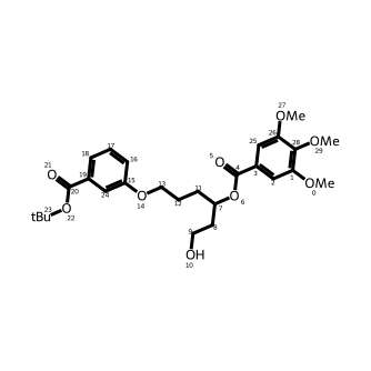 COc1cc(C(=O)OC(CCO)CCCOc2cccc(C(=O)OC(C)(C)C)c2)cc(OC)c1OC